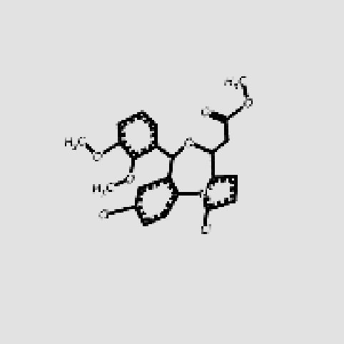 COC(=O)CC1OC(c2cccc(OC)c2OC)c2cc(Cl)ccc2-n2c(Cl)ccc21